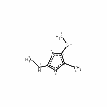 CNc1nc(C)c(SC)s1